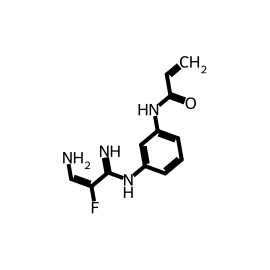 C=CC(=O)Nc1cccc(NC(=N)/C(F)=C\N)c1